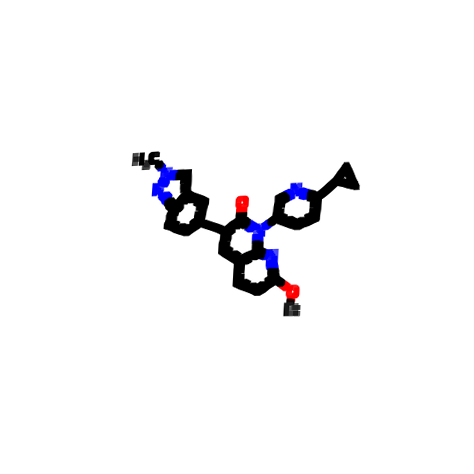 CCOc1ccc2cc(-c3ccc4nn(C)cc4c3)c(=O)n(-c3ccc(C4CC4)nc3)c2n1